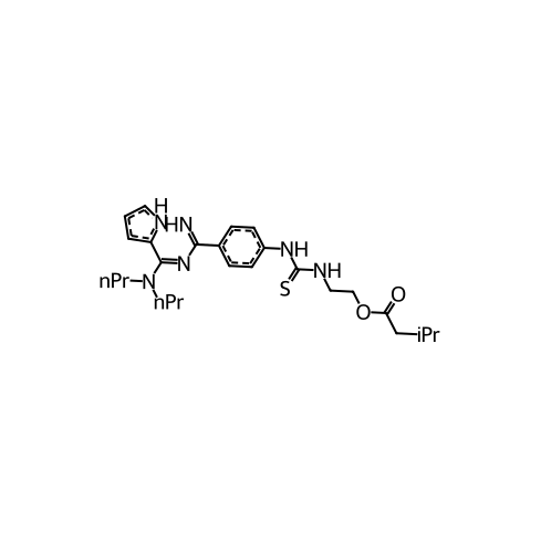 CCCN(CCC)/C(=N/C(=N)c1ccc(NC(=S)NCCOC(=O)CC(C)C)cc1)c1ccc[nH]1